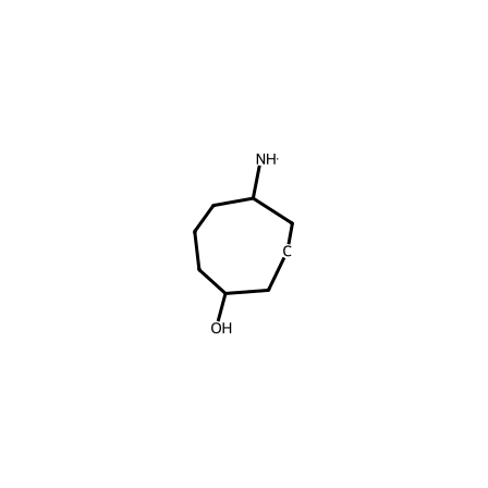 [NH]C1CCCC(O)CCC1